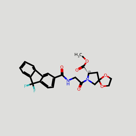 COC(=O)[C@@H]1CC2(CN1C(=O)CNC(=O)c1ccc3c(c1)-c1ccccc1C3(F)F)OCCO2